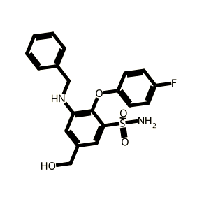 NS(=O)(=O)c1cc(CO)cc(NCc2ccccc2)c1Oc1ccc(F)cc1